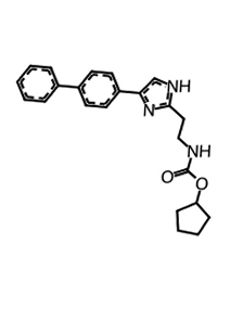 O=C(NCCc1nc(-c2ccc(-c3ccccc3)cc2)c[nH]1)OC1CCCC1